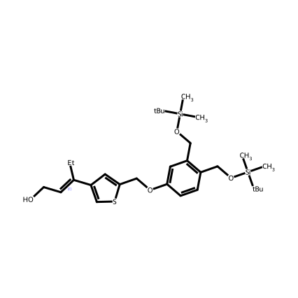 CC/C(=C\CO)c1csc(COc2ccc(CO[Si](C)(C)C(C)(C)C)c(CO[Si](C)(C)C(C)(C)C)c2)c1